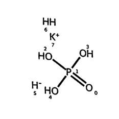 O=P(O)(O)O.[H-].[HH].[K+]